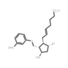 O=Cc1cccc(OC[C@@H]2[C@@H](CC=CCCCC(=O)O)[C@H](Cl)C[C@H]2O)c1